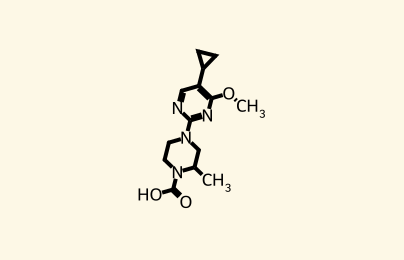 COc1nc(N2CCN(C(=O)O)C(C)C2)ncc1C1CC1